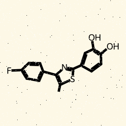 Cc1sc(-c2ccc(O)c(O)c2)nc1-c1ccc(F)cc1